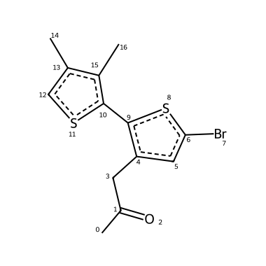 CC(=O)Cc1cc(Br)sc1-c1scc(C)c1C